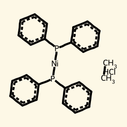 CC.Cl.c1ccc([P]([Ni][P](c2ccccc2)c2ccccc2)c2ccccc2)cc1